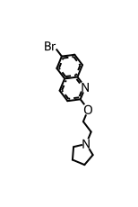 Brc1ccc2nc(OCCN3CCCC3)ccc2c1